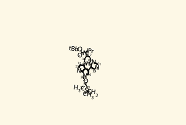 CC(C)N(C(=O)OC(C)(C)C)[C@H]1CCCN(c2ccnc3c2c(-c2cncnc2)cn3COCC[Si](C)(C)C)C1